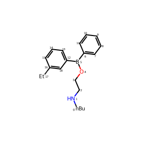 CCCCNCCOB(c1ccccc1)c1cccc(CC)c1